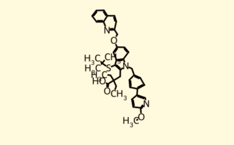 CCC(CC)(Cc1c(SC(C)(C)C)c2cc(OCc3ccc4ccccc4n3)ccc2n1Cc1ccc(-c2ccc(OC)nc2)cc1)C(=O)O